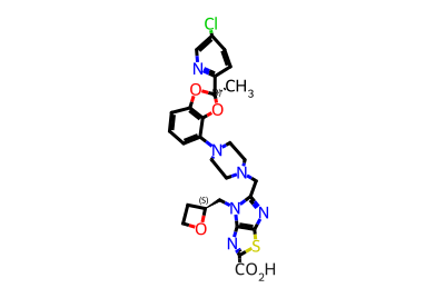 C[C@@]1(c2ccc(Cl)cn2)Oc2cccc(N3CCN(Cc4nc5sc(C(=O)O)nc5n4C[C@@H]4CCO4)CC3)c2O1